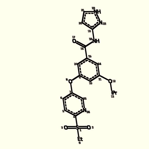 CCS(=O)(=O)c1ccc(Oc2cc(OC(C)C)cc(C(=O)Nc3cc[nH]n3)c2)cn1